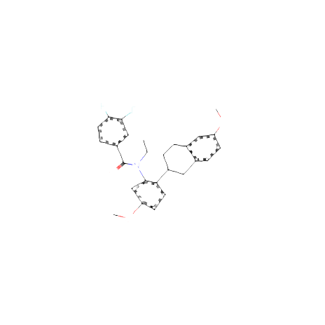 CCN(C(=O)c1ccc(F)c(F)c1)c1cc(OC)ccc1C1CCc2cc(OC)ccc2C1